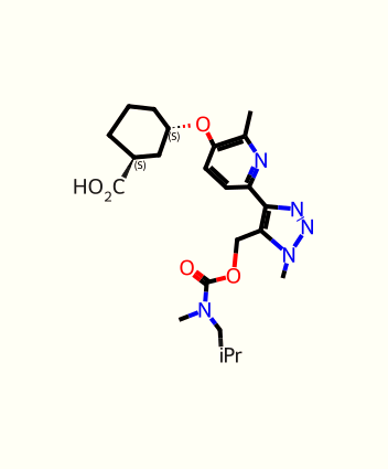 Cc1nc(-c2nnn(C)c2COC(=O)N(C)CC(C)C)ccc1O[C@H]1CCC[C@H](C(=O)O)C1